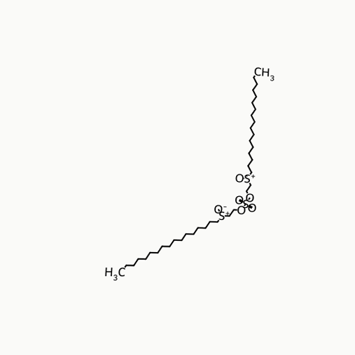 CCCCCCCCCCCCCCCCC[S+]([O-])CCOS(=O)(=O)OCC[S+]([O-])CCCCCCCCCCCCCCCCC